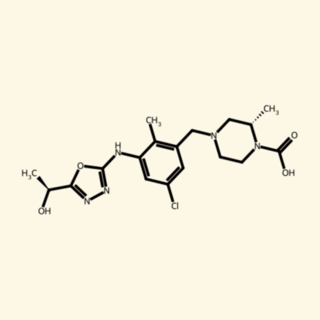 Cc1c(CN2CCN(C(=O)O)[C@@H](C)C2)cc(Cl)cc1Nc1nnc([C@H](C)O)o1